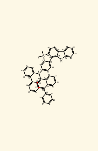 C[Si]1(C)c2cc(N(c3ccccc3-c3ccccc3)c3ccc(-c4ccccc4)c4ccccc34)ccc2-c2c1ccc1c2oc2ccccc21